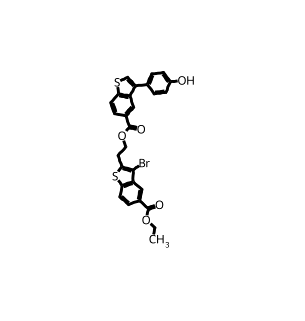 CCOC(=O)c1ccc2sc(CCOC(=O)c3ccc4scc(-c5ccc(O)cc5)c4c3)c(Br)c2c1